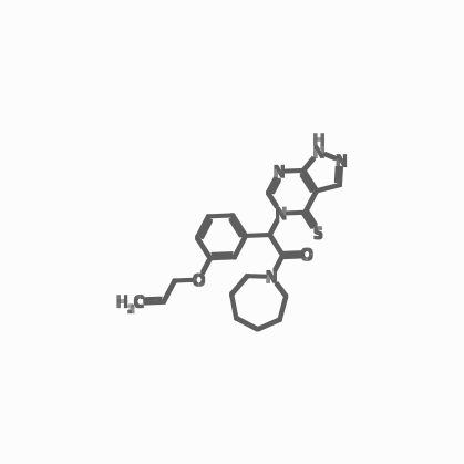 C=CCOc1cccc(C(C(=O)N2CCCCCC2)n2cnc3[nH]ncc3c2=S)c1